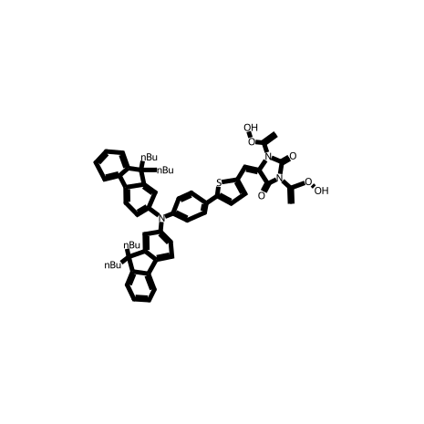 C=C(OO)N1C(=O)/C(=C\c2ccc(-c3ccc(N(c4ccc5c(c4)C(CCCC)(CCCC)c4ccccc4-5)c4ccc5c(c4)C(CCCC)(CCCC)c4ccccc4-5)cc3)s2)N(C(=C)OO)C1=O